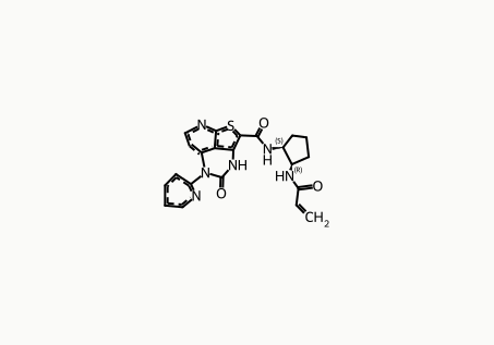 C=CC(=O)N[C@@H]1CCC[C@@H]1NC(=O)c1sc2nccc3c2c1NC(=O)N3c1ccccn1